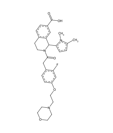 Cc1ccc(C2c3cc(C(=O)O)ccc3CCN2C(=O)Cc2ccc(OCCN3CCOCC3)cc2F)n1C